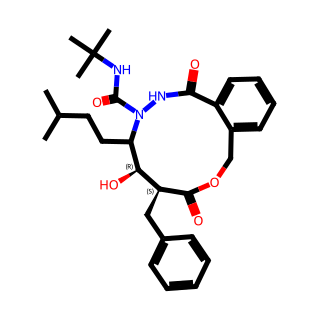 CC(C)CCC1[C@H](O)[C@H](Cc2ccccc2)C(=O)OCc2ccccc2C(=O)NN1C(=O)NC(C)(C)C